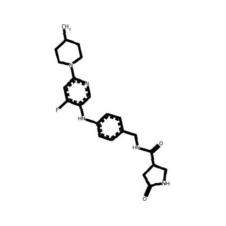 CC1CCN(c2cc(F)c(Nc3ccc(CNC(=O)C4CNC(=O)C4)cc3)cn2)CC1